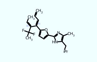 C=C/C=C(\C(=C/C)C(C)(F)F)c1ccc(-c2nc(C)c(CC(C)C)[nH]2)o1